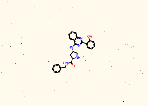 O=C(NCc1ccccc1)[C@H]1C[C@H](Nc2nc(-c3ccccc3O)nc3ccccc23)CN1